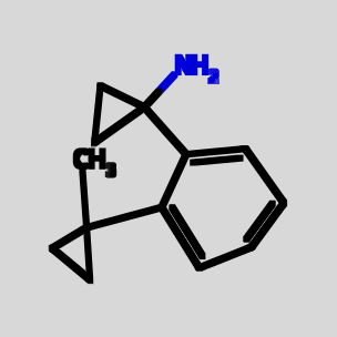 CC1(c2ccccc2C2(N)CC2)CC1